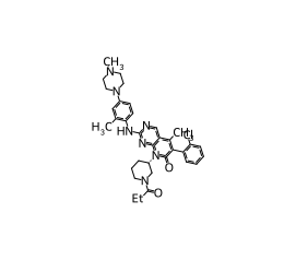 CCC(=O)N1CCC[C@H](n2c(=O)c(-c3ccccc3Cl)c(C)c3cnc(Nc4ccc(N5CCN(C)CC5)cc4C)nc32)C1